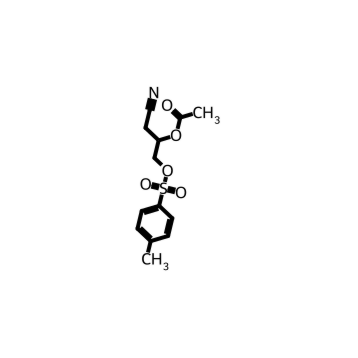 CC(=O)OC(CC#N)COS(=O)(=O)c1ccc(C)cc1